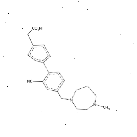 CN1CCCN(Cc2ccc(-c3ccc(CC(=O)O)cc3)c(C#N)c2)CC1